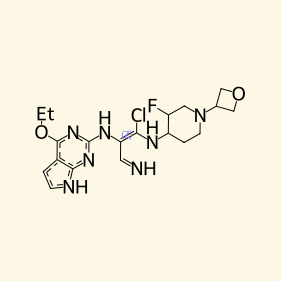 CCOc1nc(N/C(C=N)=C(\Cl)NC2CCN(C3COC3)CC2F)nc2[nH]ccc12